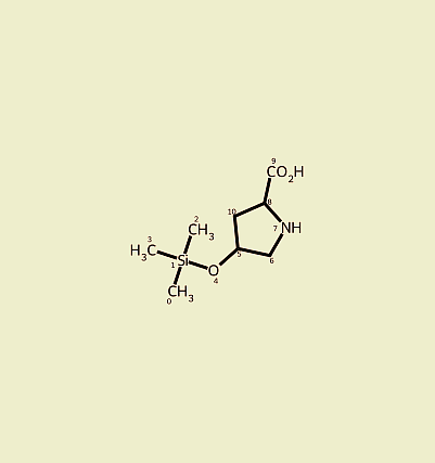 C[Si](C)(C)OC1CNC(C(=O)O)C1